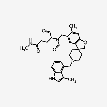 CNC(=O)CCC(C=O)N(C=O)Cc1cc2c(cc1C)OCC21CCN(Cc2cccc3[nH]cc(C)c23)CC1